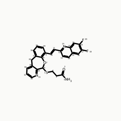 NC(=O)CCSC1Oc2c(C=Cc3ccc4cc(F)c(F)cc4n3)cccc2Cc2cccnc21